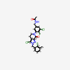 CC(=O)NCc1cc(Cl)c(F)c(N2CCc3c(nn(Cc4cccc(C)c4F)c3Cl)C2=O)c1